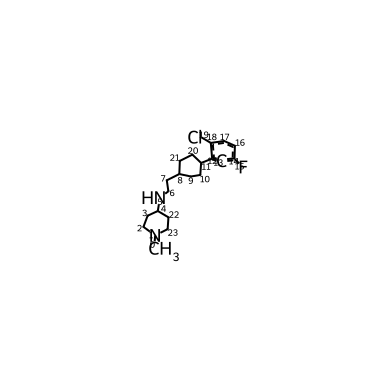 CN1CCC(NCCC2CCC(c3cc(F)ccc3Cl)CC2)CC1